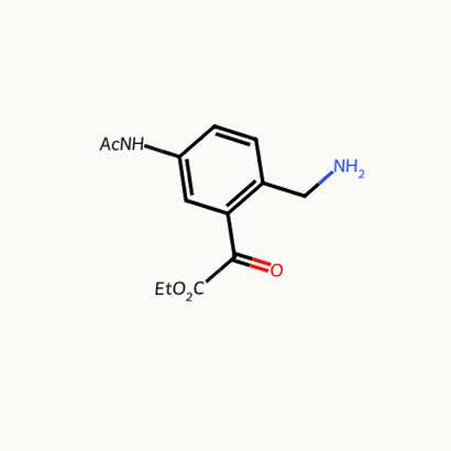 CCOC(=O)C(=O)c1cc(NC(C)=O)ccc1CN